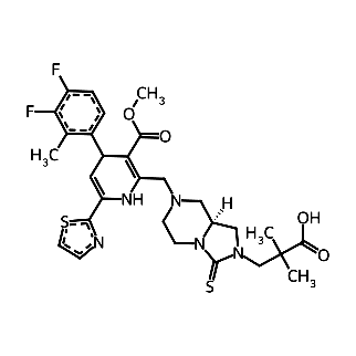 COC(=O)C1=C(CN2CCN3C(=S)N(CC(C)(C)C(=O)O)C[C@@H]3C2)NC(c2nccs2)=CC1c1ccc(F)c(F)c1C